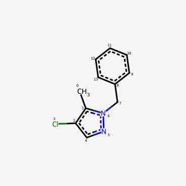 Cc1c(Cl)cnn1Cc1ccccc1